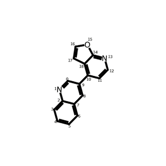 [c]1nc2ccccc2cc1-c1ccnc2occc12